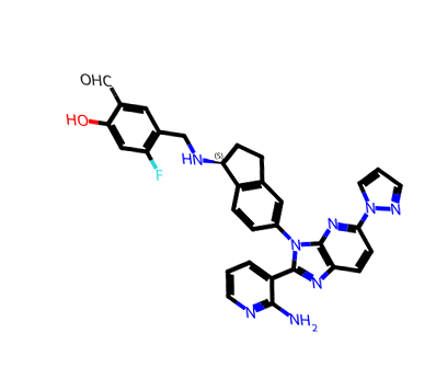 Nc1ncccc1-c1nc2ccc(-n3cccn3)nc2n1-c1ccc2c(c1)CC[C@@H]2NCc1cc(C=O)c(O)cc1F